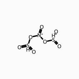 O=[N+](O[SH](=O)=O)O[SH](=O)=O